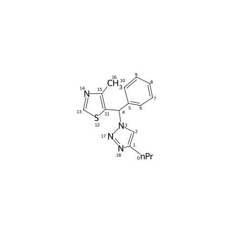 CCCc1cn(C(c2ccccc2)c2scnc2C)nn1